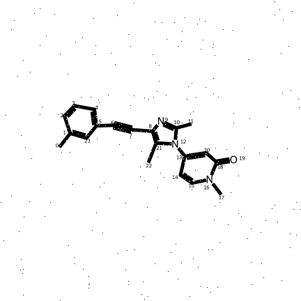 Cc1cccc(C#Cc2nc(C)n(-c3ccn(C)c(=O)c3)c2C)c1